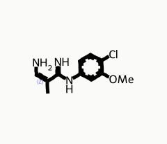 COc1cc(NC(=N)/C(C)=C\N)ccc1Cl